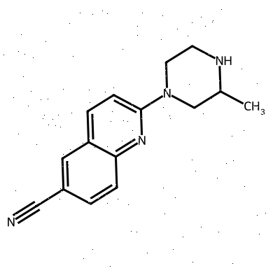 CC1CN(c2ccc3cc(C#N)ccc3n2)CCN1